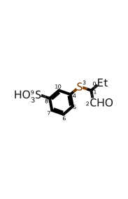 CCC(C=O)Sc1cccc(S(=O)(=O)O)c1